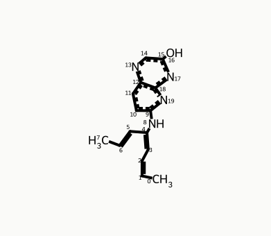 C\C=C/C=C(\C=C\C)Nc1ccc2ncc(O)nc2n1